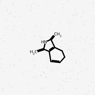 C=c1[nH]c(=C)c2c1C=CCC2